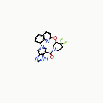 O=C(c1cncc2nc[nH]c12)N1CCC(F)(F)C(Oc2ccc3ccccc3n2)C1